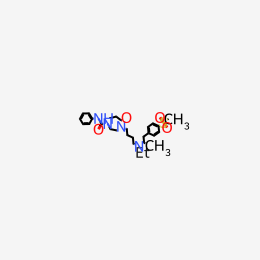 CCN(CCCCN1CCN(C(=O)Nc2ccccc2)CCC1=O)C(C)Cc1ccc(S(C)(=O)=O)cc1